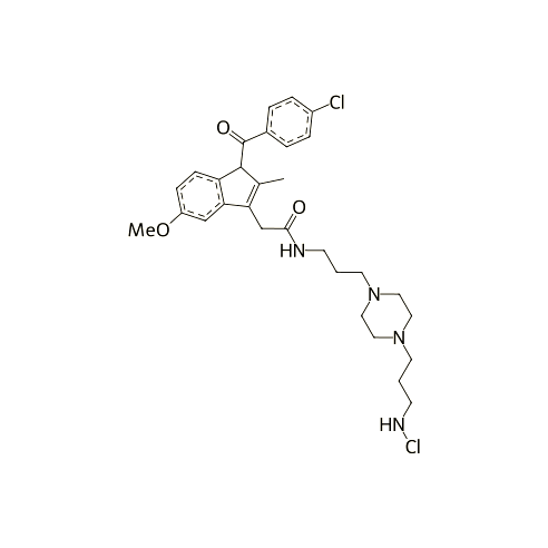 COc1ccc2c(c1)C(CC(=O)NCCCN1CCN(CCCNCl)CC1)=C(C)C2C(=O)c1ccc(Cl)cc1